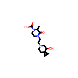 CC1C(=O)N(CCN2CCC3(CC3)C(O)C2)CCN1C(=O)O